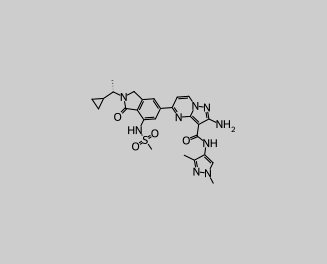 Cc1nn(C)cc1NC(=O)c1c(N)nn2ccc(-c3cc4c(c(NS(C)(=O)=O)c3)C(=O)N([C@@H](C)C3CC3)C4)nc12